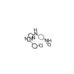 O=CN[C@H]1CC[C@H](Nc2ccc3ncc(-c4cccc(Cl)c4)n3n2)CC1